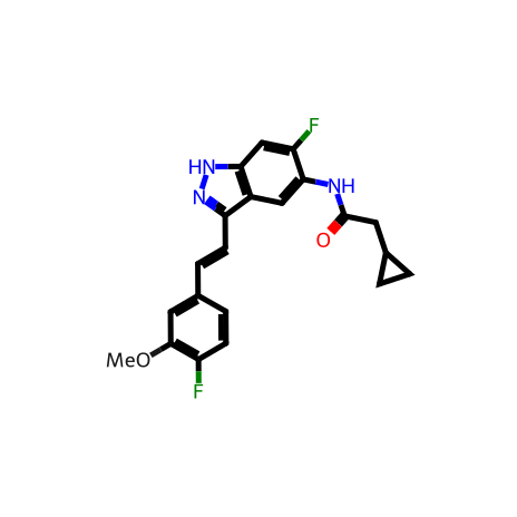 COc1cc(C=Cc2n[nH]c3cc(F)c(NC(=O)CC4CC4)cc23)ccc1F